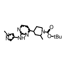 CC1CC(c2ccnc(Nc3cnn(C)c3)n2)CCN1C(=O)OC(C)(C)C